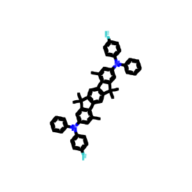 Cc1cc(N(c2ccccc2)c2ccc(F)cc2)cc2c1-c1cc3c(cc1C2(C)C)-c1c(C)cc(N(c2ccccc2)c2ccc(F)cc2)cc1C3(C)C